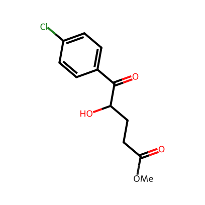 COC(=O)CCC(O)C(=O)c1ccc(Cl)cc1